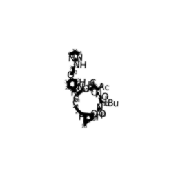 CC(=O)[C@@H]1[C@H](C)[C@@H]2CN1C(=O)[C@H](C(C)(C)C)NC(=O)O[C@@H]1CC3CC3[C@H]1CCCCCc1nc3ccc(OCCNc4ncccn4)cc3nc1O2